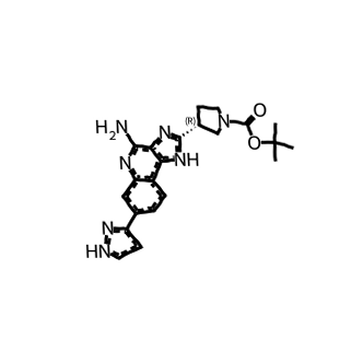 CC(C)(C)OC(=O)N1CC[C@@H](c2nc3c(N)nc4cc(-c5cc[nH]n5)ccc4c3[nH]2)C1